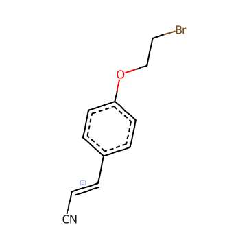 N#C/C=C/c1ccc(OCCBr)cc1